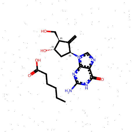 C=C1[C@H](CO)[C@@H](O)C[C@@H]1n1cnc2c(=O)[nH]c(N)nc21.CCCCCC(=O)O